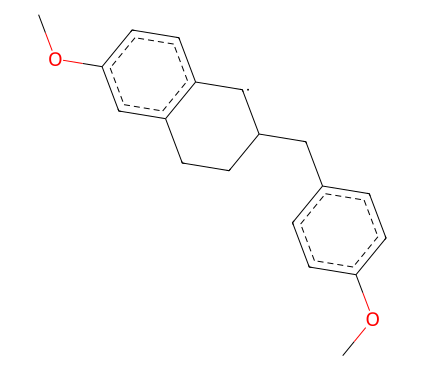 COc1ccc(CC2[CH]c3ccc(OC)cc3CC2)cc1